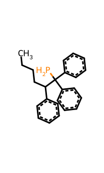 CCCCC(c1ccccc1)C(P)(c1ccccc1)c1ccccc1